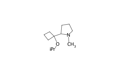 CC(C)OC1(C2CCCN2C)CCC1